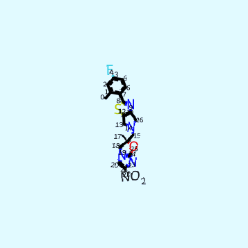 Cc1cc(F)ccc1-c1nc2c(s1)CN(C[C@@]1(C)Cn3cc([N+](=O)[O-])nc3O1)C2